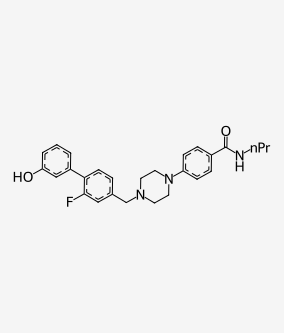 CCCNC(=O)c1ccc(N2CCN(Cc3ccc(-c4cccc(O)c4)c(F)c3)CC2)cc1